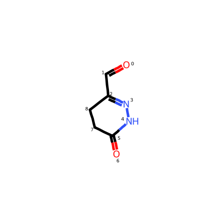 O=[C]C1=NNC(=O)CC1